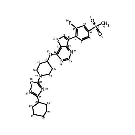 CS(=O)(=O)c1ccc(-c2csc3c(OC4CCN(c5nc(C6CCCCC6)no5)CC4)ncnc23)c(F)c1